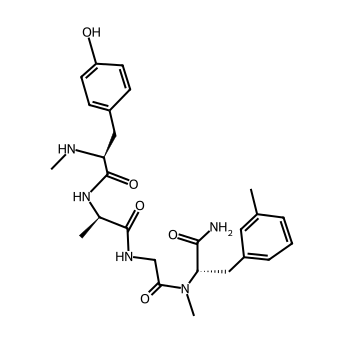 CN[C@@H](Cc1ccc(O)cc1)C(=O)N[C@H](C)C(=O)NCC(=O)N(C)[C@@H](Cc1cccc(C)c1)C(N)=O